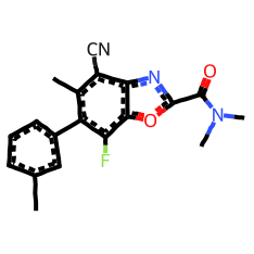 Cc1cccc(-c2c(C)c(C#N)c3nc(C(=O)N(C)C)oc3c2F)c1